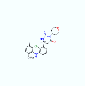 COc1ccc(C)cc1Nc1cccc([C@]2(C)CC(=O)N(C3CCOCC3)C(=N)N2)c1Cl